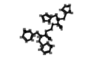 O=C(CCCC(=O)N(Cc1cccs1)Cc1cccs1)N(Cc1cccnc1)Cc1cccnc1